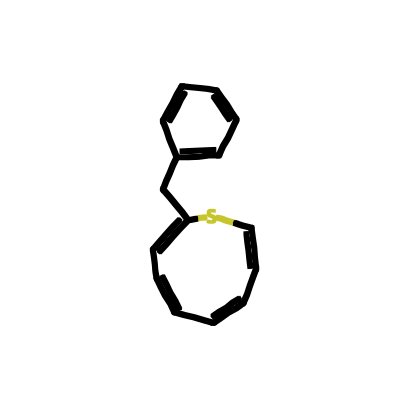 c1cccsc(Cc2ccccc2)ccc1